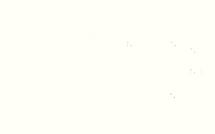 N#Cc1[nH]nnc1-c1csc(Oc2ccc(Cl)cc2)n1